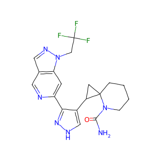 NC(=O)N1CCCCC12CC2c1c[nH]nc1-c1cc2c(cn1)cnn2CC(F)(F)F